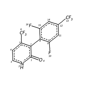 O=c1[nH]ccc(C(F)(F)F)c1-c1c(F)cc(C(F)(F)F)cc1F